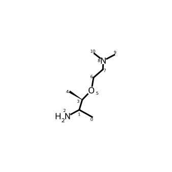 CC(N)[C@@H](C)OCCN(C)C